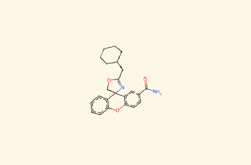 NC(=O)c1ccc2c(c1)C1(COC(CC3CCCCC3)=N1)c1ccccc1O2